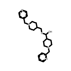 OC(OCC1CCN(Cc2ccncc2)CC1)C1CCN(Cc2ccccn2)CC1